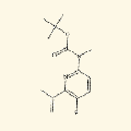 C=C(C)c1nc(N(C)C(=O)OC(C)(C)C)ccc1F